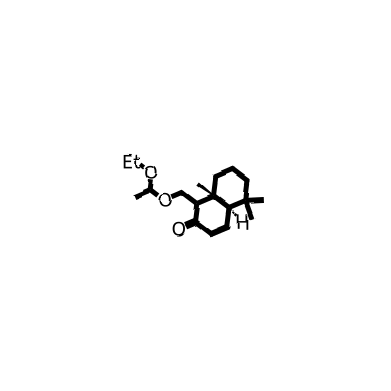 CCOC(C)OCC1C(=O)CC[C@@H]2C(C)(C)CCC[C@@]12C